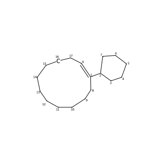 C1=C(C2CCCCC2)CCCCCCCCCC1